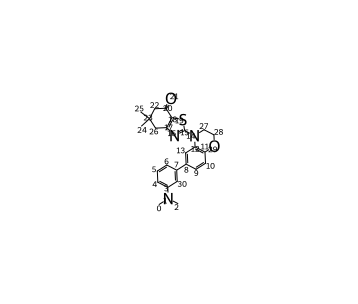 CN(C)c1cccc(-c2ccc3c(c2)N(c2nc4c(s2)C(=O)CC(C)(C)C4)CCO3)c1